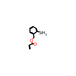 C=CC(=O)OCc1ccccc1[SiH3]